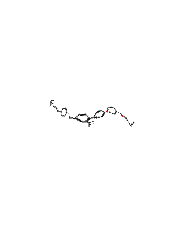 CCCCC[C@H]1CC[C@H](c2ccc(-c3ccc(CC[C@H]4CC[C@H](CCCF)CC4)cc3F)cc2)CC1